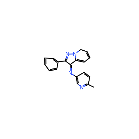 Cc1ccc(N=C2C3=CC=CCN3N=C2c2ccccc2)cn1